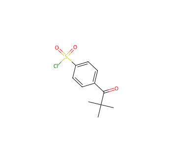 CC(C)(C)C(=O)c1ccc(S(=O)(=O)Cl)cc1